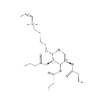 C/C=C\[N+](C)(C)CCCCOC1OC[C@@H](OC(=O)CCC)C(OC(=O)CCC)[C@H]1OC(=O)CCC